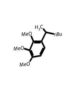 CCCCC(C)c1ccc(OC)c(OC)c1OC